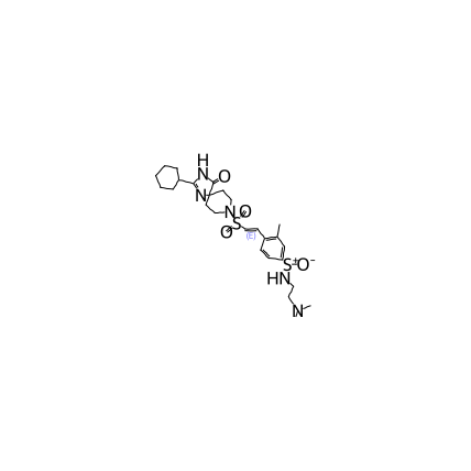 Cc1cc([S+]([O-])NCCN(C)C)ccc1/C=C/S(=O)(=O)N1CCC2(CC1)N=C(C1CCCCC1)NC2=O